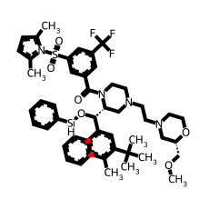 COC[C@@H]1CN(CCN2CCN(C(=O)c3cc(C(F)(F)F)cc(S(=O)(=O)n4c(C)ccc4C)c3)[C@@H](C(O[SiH](c3ccccc3)c3ccccc3)c3ccc(C)c(C(C)(C)C)c3)C2)CCO1